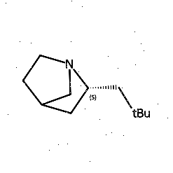 CC(C)(C)C[C@@H]1CC2CCN1C2